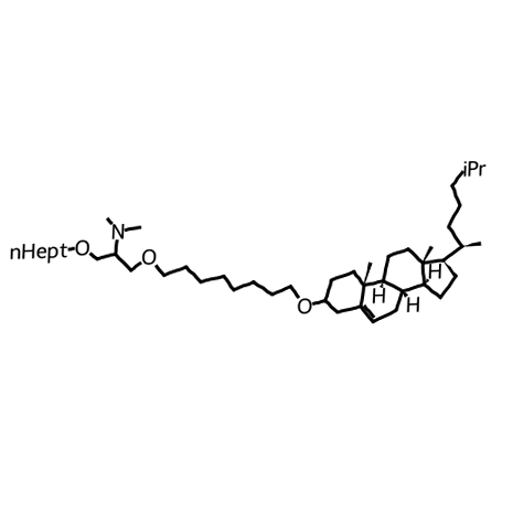 CCCCCCCOCC(COCCCCCCCCOC1CC[C@@]2(C)C(=CC[C@H]3[C@@H]4CC[C@H]([C@H](C)CCCC(C)C)[C@@]4(C)CC[C@@H]32)C1)N(C)C